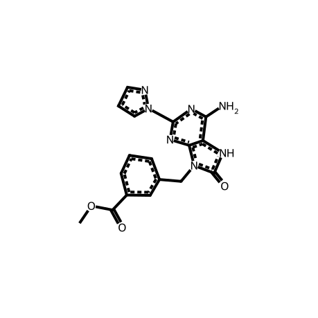 COC(=O)c1cccc(Cn2c(=O)[nH]c3c(N)nc(-n4cccn4)nc32)c1